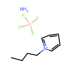 CCCC[n+]1ccccc1.F[B-](F)(F)F.N